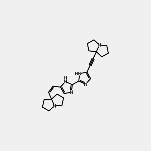 C(#CC12CCCN1CCC2)c1cnc(-c2ncc(/C=C\C34CCCN3CCC4)[nH]2)[nH]1